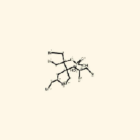 O=P(O)(O)OC(CBr)(CBr)C(CCl)(CC(Br)CBr)CC(Br)CBr